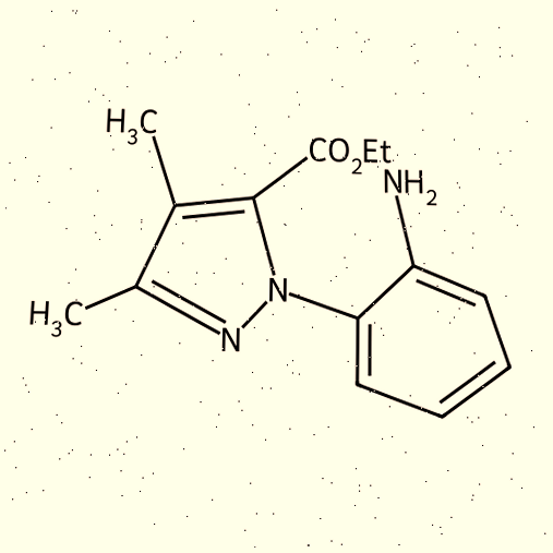 CCOC(=O)c1c(C)c(C)nn1-c1ccccc1N